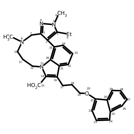 CCc1c2c(nn1C)CN(C)CCCn1c(C(=O)O)c(CCCOc3cccc4ccccc34)c3cccc-2c31